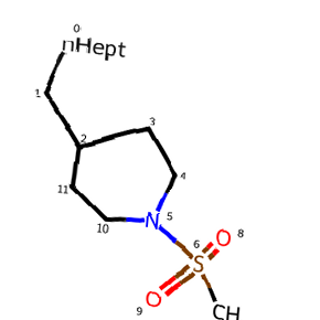 CCCCCCCCC1CCN(S(C)(=O)=O)CC1